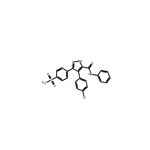 CS(=O)(=O)c1ccc(-c2n[nH]c(C(=O)Nc3ccccc3)c2-c2ccc(Cl)cc2)cc1